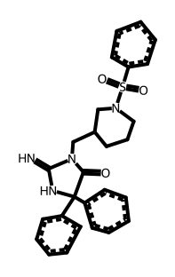 N=C1NC(c2ccccc2)(c2ccccc2)C(=O)N1CC1CCCN(S(=O)(=O)c2ccccc2)C1